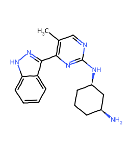 Cc1cnc(N[C@@H]2CCC[C@H](N)C2)nc1-c1n[nH]c2ccccc12